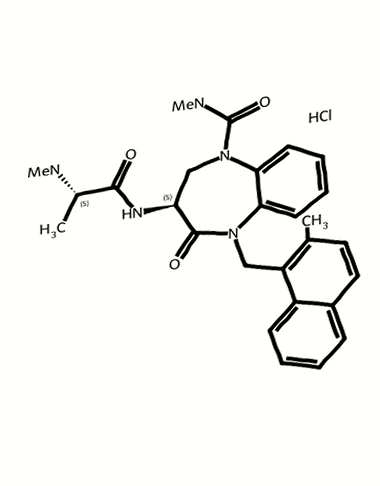 CNC(=O)N1C[C@H](NC(=O)[C@H](C)NC)C(=O)N(Cc2c(C)ccc3ccccc23)c2ccccc21.Cl